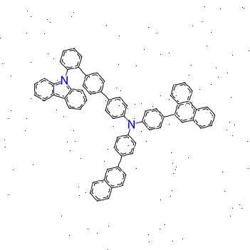 c1ccc(-n2c3ccccc3c3ccccc32)c(-c2ccc(-c3ccc(N(c4ccc(-c5ccc6ccccc6c5)cc4)c4ccc(-c5cc6ccccc6c6ccccc56)cc4)cc3)cc2)c1